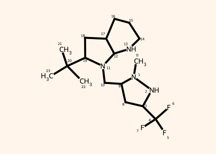 CN1NC(C(F)(F)F)CC1CN1C2NCCCC2CC1C(C)(C)C